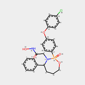 O=C(CN1C(c2ccccc2)CCCOP1(=O)c1ccc(Oc2ccc(Cl)cc2)cc1)NO